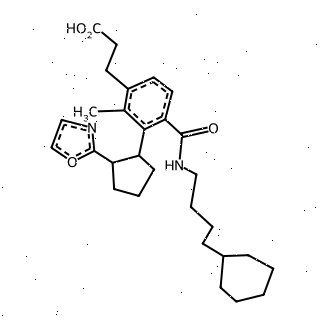 Cc1c(CCC(=O)O)ccc(C(=O)NCCCCC2CCCCC2)c1C1CCCC1c1ncco1